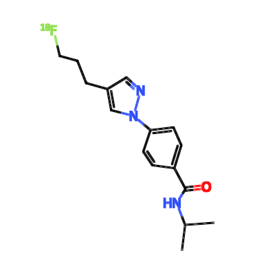 CC(C)NC(=O)c1ccc(-n2cc(CCC[18F])cn2)cc1